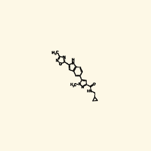 Cc1noc(-c2cc3cc(-c4cc(C(=O)NCC5CC5)nn4C)ccc3[nH]2)n1